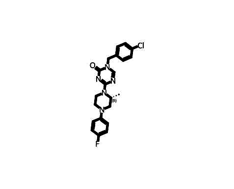 C[C@@H]1CN(c2ccc(F)cc2)CCN1c1ncn(Cc2ccc(Cl)cc2)c(=O)n1